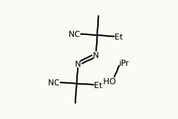 CC(C)O.CCC(C)(C#N)N=NC(C)(C#N)CC